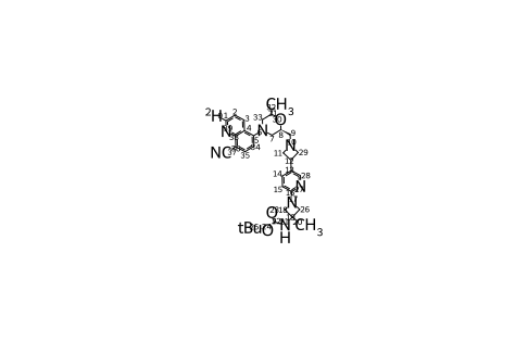 [2H]c1ccc2c(N3C[C@H](CN4CC(c5ccc(N6CC(C)(NC(=O)OC(C)(C)C)C6)nc5)C4)O[C@H](C)C3)ccc(C#N)c2n1